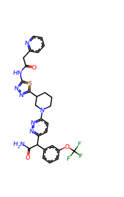 NC(=O)C(c1cccc(OC(F)(F)F)c1)c1ccc(N2CCCC(c3nnc(NC(=O)Cc4ccccn4)s3)C2)nn1